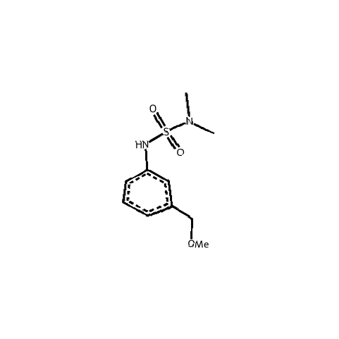 COCc1cccc(NS(=O)(=O)N(C)C)c1